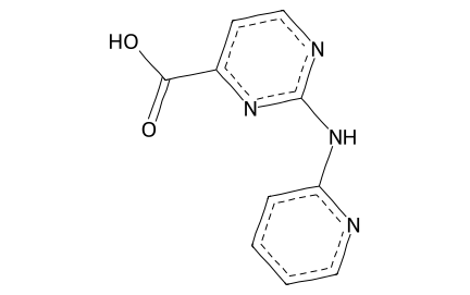 O=C(O)c1ccnc(Nc2ccccn2)n1